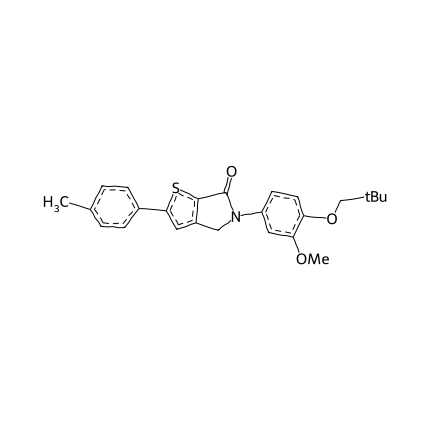 COc1cc(N2Cc3cc(-c4ccc(C)cc4)sc3C2=O)ccc1OCC(C)(C)C